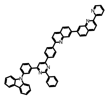 c1ccc(-c2nc(-c3ccc(-c4ccc5ccc(-c6ccc7ccc(-c8ccccn8)nc7c6)cc5n4)cc3)cc(-c3cccc(-n4c5ccccc5c5ccccc54)c3)n2)cc1